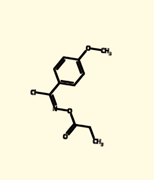 CCC(=O)O/N=C(/Cl)c1ccc(OC)cc1